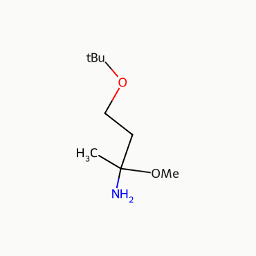 COC(C)(N)CCOC(C)(C)C